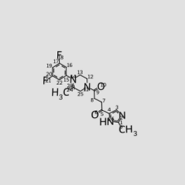 Cc1ncc(C(=O)CCC(=O)N2CCN(c3cc(F)cc(F)c3)[C@@H](C)C2)[nH]1